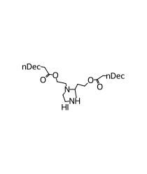 CCCCCCCCCCCC(=O)OCCC1CNCCN1CCOC(=O)CCCCCCCCCCC.I